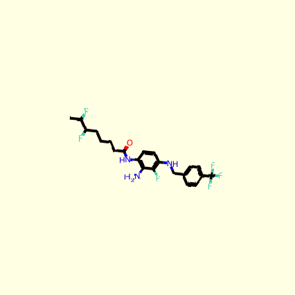 CC(F)C(F)CCCCC(=O)Nc1ccc(NCc2ccc(C(F)(F)F)cc2)c(F)c1N